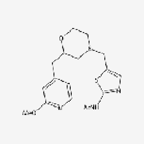 COc1cc(CC2CN(Cc3cnc(NC(C)=O)s3)CCO2)ccn1